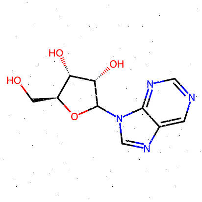 OC[C@@H]1OC(n2cnc3cncnc32)[C@@H](O)[C@H]1O